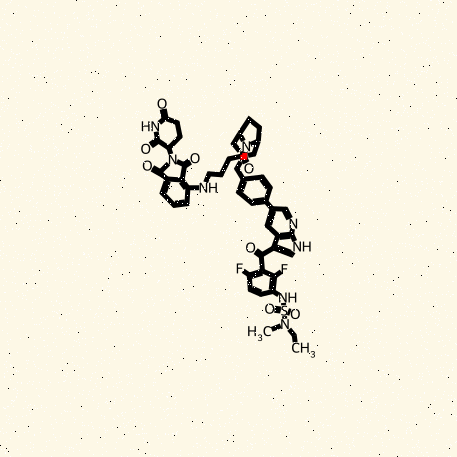 CCN(C)S(=O)(=O)Nc1ccc(F)c(C(=O)c2c[nH]c3ncc(-c4ccc(CN5CC6CCC(C5)N6C(=O)CCCNc5cccc6c5C(=O)N(C5CCC(=O)NC5=O)C6=O)cc4)cc23)c1F